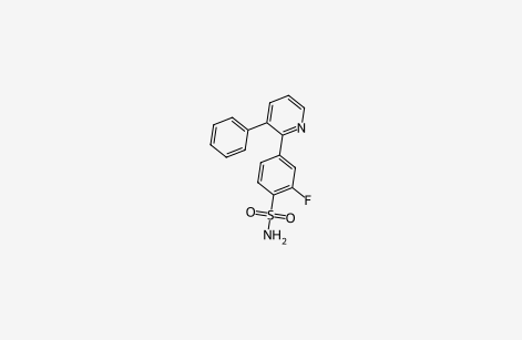 NS(=O)(=O)c1ccc(-c2ncccc2-c2ccccc2)cc1F